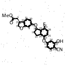 COC(=O)C[C@@H]1COc2cc(O[C@@H]3CCc4c(Oc5ccc(C#N)c(O)c5)ccc(F)c43)ccc21